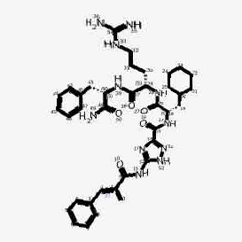 C/C(=C\c1ccccc1)C(=O)Nc1nc(C(=O)N[C@@H](CC2CCCCC2)C(=O)N[C@@H](CCCNC(=N)N)C(=O)N[C@@H](Cc2ccccc2)C(N)=O)n[nH]1